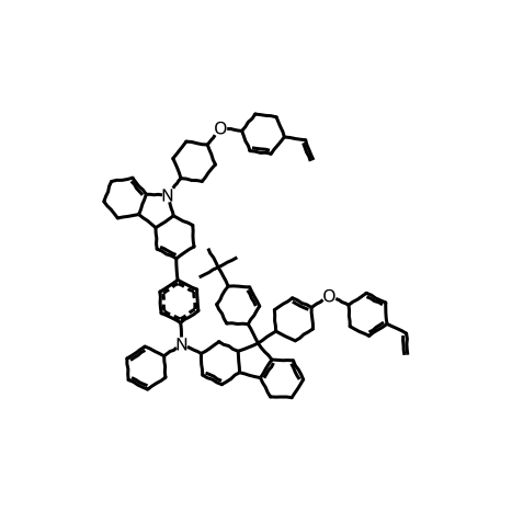 C=CC1=CCC(OC2=CCC(C3(C4C=CC(C(C)(C)C)CC4)C4=C(CCC=C4)C4C=CC(N(c5ccc(C6=CC7C8CCCC=C8N(C8CCC(OC9C=CC(C=C)CC9)CC8)C7CC6)cc5)C5C=CC=CC5)CC43)CC2)C=C1